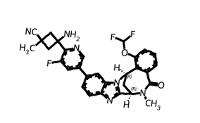 CN1C(=O)c2cccc(OC(F)F)c2[C@H]2C[C@@H]1c1nc3ccc(-c4cnc(C5(N)CC(C)(C#N)C5)c(F)c4)cc3n12